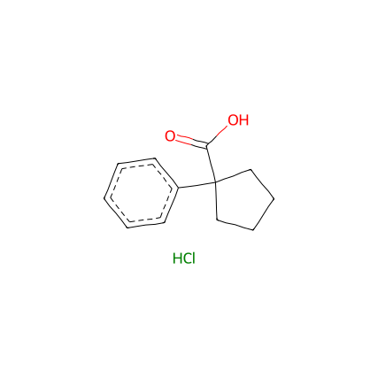 Cl.O=C(O)C1(c2ccccc2)CCCC1